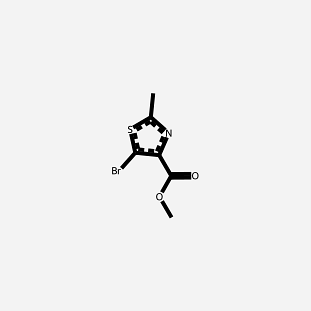 COC(=O)c1nc(C)sc1Br